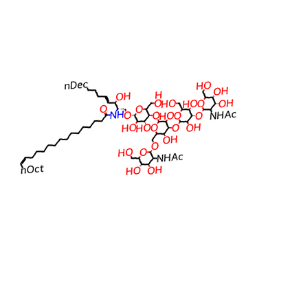 CCCCCCCC/C=C\CCCCCCCCCCCCCC(=O)N[C@@H](CO[C@@H]1OC(CO)[C@@H](O[C@@H]2OC(CO[C@@H]3OC(CO)[C@@H](O)[C@H](O)C3NC(C)=O)[C@H](O)[C@H](O[C@H]3OC(CO)[C@H](O)[C@H](O[C@@H]4OC(CO)[C@H](O)[C@H](O)C4NC(C)=O)C3O)C2O)[C@H](O)C1O)[C@H](O)/C=C/CCCCCCCCCCCCC